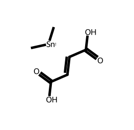 O=C(O)C=CC(=O)O.[CH3][Sn][CH3]